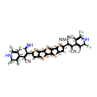 CN/C(=C(/C#N)C1=C(F)C(F)NC(F)=C1C#N)c1cc2sc3c(sc4c5sc(/C(C=N)=C(\C#N)C6=C(F)C(F)NC(F)=C6F)cc5sc43)c2s1